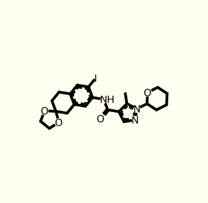 Cc1c(C(=O)Nc2cc3c(cc2I)CCC2(C3)OCCO2)cnn1C1CCCCO1